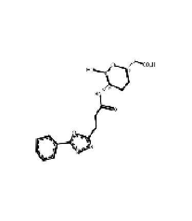 O=C(O)C[C@@H]1CC[C@H](NC(=O)CCc2nnc(-c3ccccc3)o2)B(O)O1